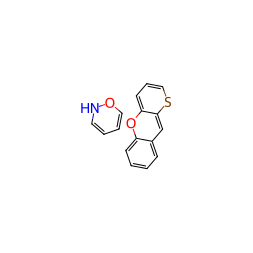 C1=CNOC=C1.C1=CSC2=Cc3ccccc3OC2=C1